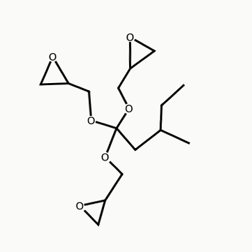 CCC(C)CC(OCC1CO1)(OCC1CO1)OCC1CO1